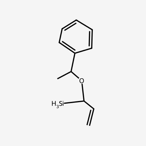 C=CC([SiH3])OC(C)c1ccccc1